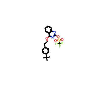 CC(C)(C)c1ccc(CCOc2nc(OS(=O)(=O)C(F)(F)F)nc3ccccc23)cc1